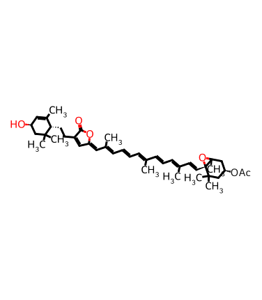 CC(=O)O[C@H]1CC(C)(C)[C@]2(/C=C/C(C)=C/C=C/C(C)=C/C=C/C=C(C)/C=C3/C=C(CC[C@H]4C(C)=C[C@H](O)CC4(C)C)C(=O)O3)O[C@]2(C)C1